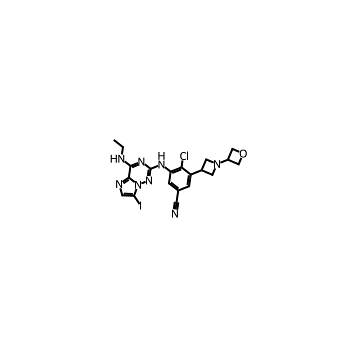 CCNc1nc(Nc2cc(C#N)cc(C3CN(C4COC4)C3)c2Cl)nn2c(I)cnc12